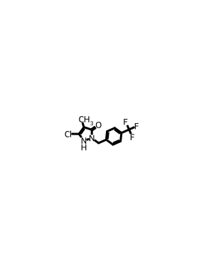 Cc1c(Cl)[nH]n(Cc2ccc(C(F)(F)F)cc2)c1=O